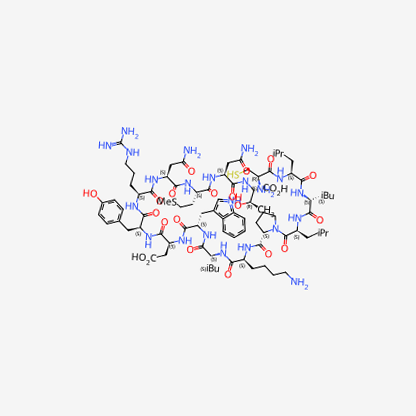 CC[C@H](C)[C@H](NC(=O)[C@H](CCCCN)NC(=O)[C@@H]1CCCN1C(=O)[C@H](CC(C)C)NC(=O)[C@@H](NC(=O)[C@H](CC(C)C)NC(=O)[C@@H](N)CS)[C@@H](C)CC)C(=O)N[C@@H](Cc1c[nH]c2ccccc12)C(=O)N[C@@H](CC(=O)O)C(=O)N[C@@H](Cc1ccc(O)cc1)C(=O)N[C@@H](CCCNC(=N)N)C(=O)N[C@@H](CC(N)=O)C(=O)N[C@@H](CCSC)C(=O)N[C@@H](CC(N)=O)C(=O)N[C@H](C(=O)O)[C@@H](C)O